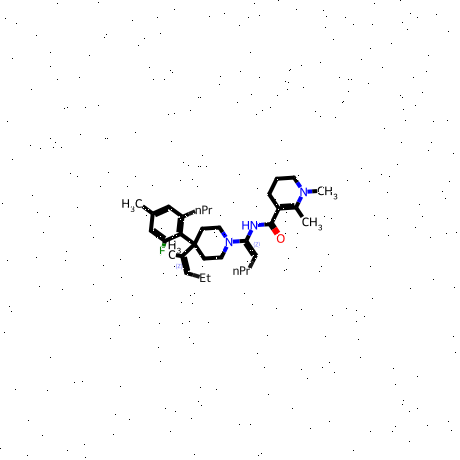 CC/C=C(/C)C1(c2c(F)cc(C)cc2CCC)CCN(/C(=C\CCC)NC(=O)C2=C(C)N(C)CCC2)CC1